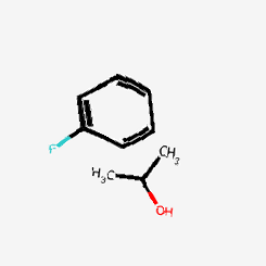 CC(C)O.Fc1ccccc1